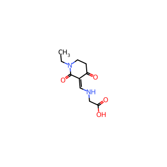 CCN1CCC(=O)/C(=C\NCC(=O)O)C1=O